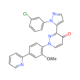 COc1cc(-c2ccccn2)ccc1-n1ccc(=O)c(-c2ccnn2-c2cccc(Cl)c2)n1